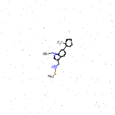 CC(C)(C)Cn1cc(CNSC(C)(C)C)c2ccc(-c3ccccc3C(F)(F)F)cc21